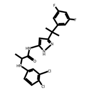 CC(Nc1ccc(Cl)c(Cl)c1)C(=O)Nc1cc(C(C)(C)c2cc(F)cc(F)c2)n[nH]1